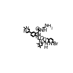 Cc1ncc(-c2ccc3c(c2)c(C(=O)NCCN)nn3CC(=O)N2[C@H](C(=O)Nc3nc(Br)ccc3C)CC(C)(C)[C@H]2C)cn1